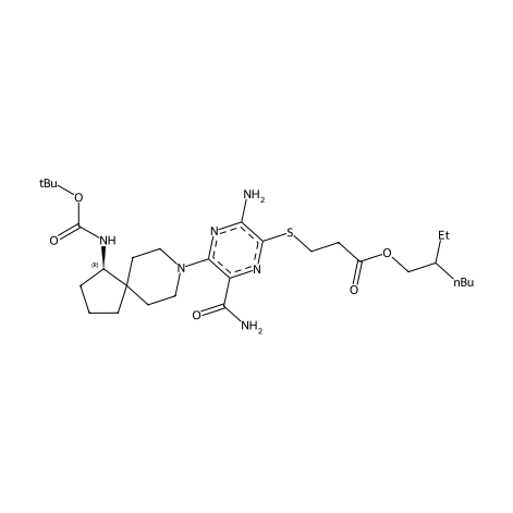 CCCCC(CC)COC(=O)CCSc1nc(C(N)=O)c(N2CCC3(CCC[C@H]3NC(=O)OC(C)(C)C)CC2)nc1N